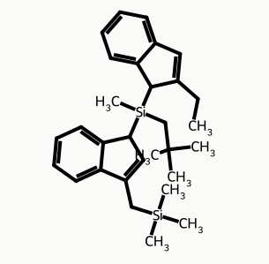 CCC1=Cc2ccccc2C1[Si](C)(CC(C)(C)C)C1C=C(C[Si](C)(C)C)c2ccccc21